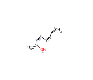 C=C/C=C\C=C/C(C)O